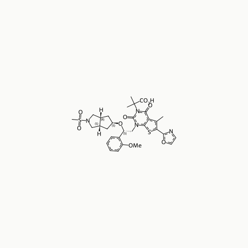 COc1ccccc1[C@@H](Cn1c(=O)n(C(C)(C)C(=O)O)c(=O)c2c(C)c(-c3ncco3)sc21)O[C@H]1C[C@@H]2CN(S(C)(=O)=O)C[C@@H]2C1